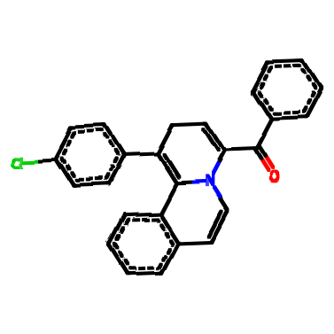 O=C(C1=CCC(c2ccc(Cl)cc2)=C2c3ccccc3C=CN12)c1ccccc1